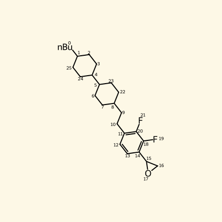 CCCCC1CCC(C2CCC(CCc3ccc(C4CO4)c(F)c3F)CC2)CC1